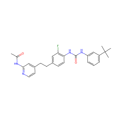 CC(=O)Nc1cc(CCc2ccc(NC(=O)Nc3cccc(C(C)(C)C)c3)c(F)c2)ccn1